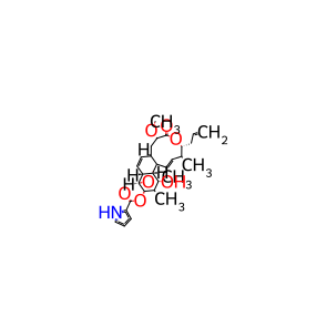 C=CC[C@H]1OC(=O)[C@@H](OC)C[C@H]2C=C[C@H]3[C@H]4O[C@]2(/C(C)=C/[C@H]1C)[C@@H]3[C@H](O)[C@@H](C)[C@H]4OC(=O)c1ccc[nH]1